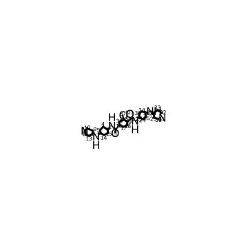 O=C(Nc1ccc(Nc2ccncc2)cc1)c1ccc(C(=O)Nc2ccc(Nc3ccncc3)cc2)c(Cl)c1